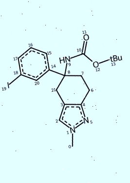 Cn1cc2c(n1)CCC(NC(=O)OC(C)(C)C)(c1cccc(I)c1)C2